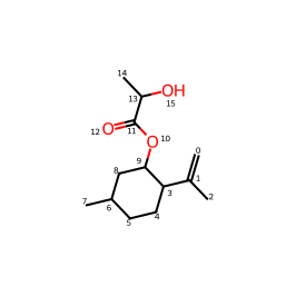 C=C(C)C1CCC(C)CC1OC(=O)C(C)O